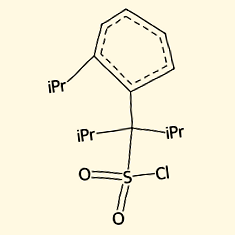 CC(C)c1ccccc1C(C(C)C)(C(C)C)S(=O)(=O)Cl